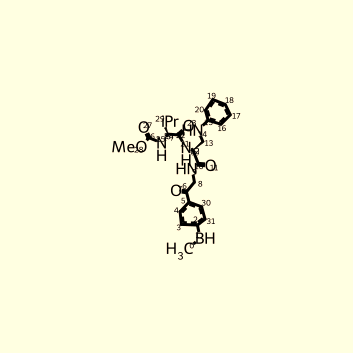 CBc1ccc(C(=O)CNC(=O)[C@H](CNc2ccccc2)NC(=O)[C@@H](NC(=O)OC)C(C)C)cc1